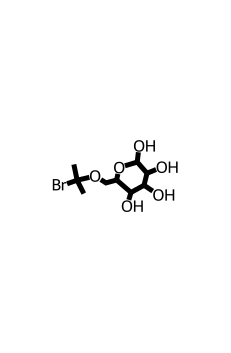 CC(C)(Br)OCC1OC(O)C(O)C(O)C1O